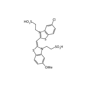 COc1ccc2c(c1)N(CCS(=O)(=O)O)C(=Cc1sc3ccc(Cl)cc3[n+]1CCS(=O)(=O)O)S2